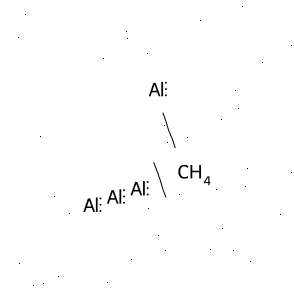 C.CC.CC.[Al].[Al].[Al].[Al]